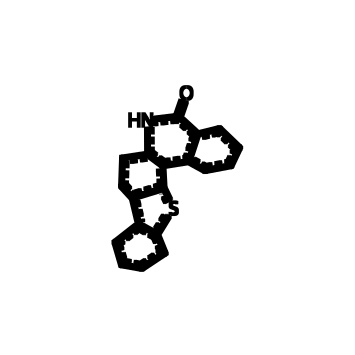 O=c1[nH]c2ccc3c4ccccc4sc3c2c2ccccc12